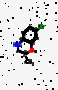 C[C@@H]1CNc2ccc(Br)cc2O1